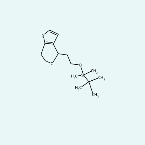 CC(C)(C)[Si](C)(C)OCCC1OCCc2sccc21